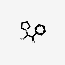 CCCC(C(=O)c1ccccc1)N1CCCC1